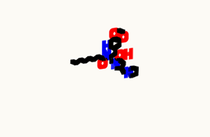 CCCCCCCC(=O)N[C@H](CN1CCC(CN2CCCC2)C1)[C@H](O)c1ccc2c(c1)OCCO2